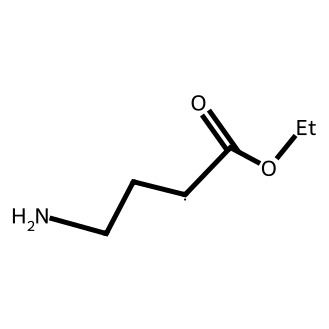 CCOC(=O)[CH]CCN